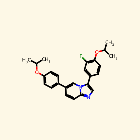 CC(C)Oc1ccc(-c2ccc3ncc(-c4ccc(OC(C)C)c(F)c4)n3c2)cc1